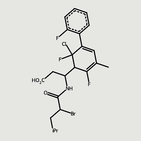 CC1=C(F)C(C(CC(=O)O)NC(=O)C(Br)CC(C)C)C(F)(Cl)C(c2ccccc2F)=C1